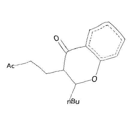 CCCCC1Oc2ccccc2C(=O)C1CCC(C)=O